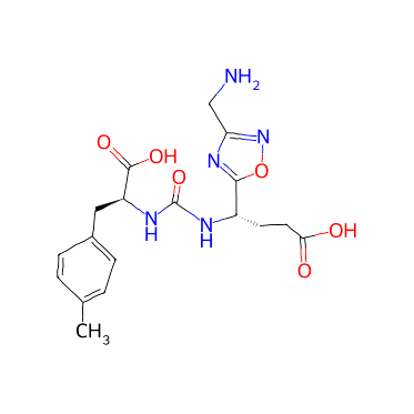 Cc1ccc(C[C@H](NC(=O)N[C@@H](CCC(=O)O)c2nc(CN)no2)C(=O)O)cc1